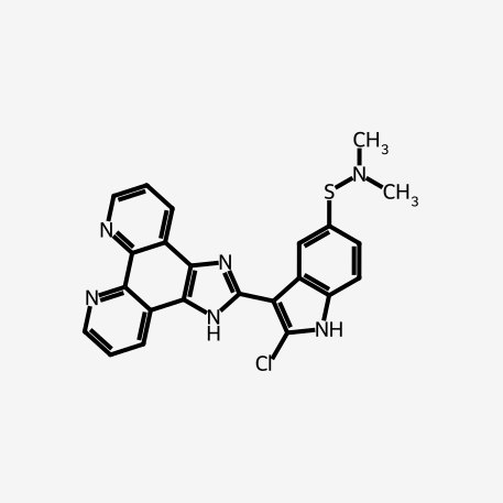 CN(C)Sc1ccc2[nH]c(Cl)c(-c3nc4c5cccnc5c5ncccc5c4[nH]3)c2c1